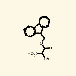 CCCCC(C(=O)O)C(=O)OCC1c2ccccc2-c2ccccc21